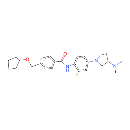 CN(C)C1CCN(c2ccc(NC(=O)c3ccc(COC4CCCC4)cc3)c(F)c2)C1